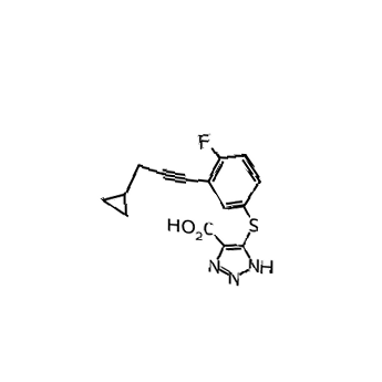 O=C(O)c1nn[nH]c1Sc1ccc(F)c(C#CCC2CC2)c1